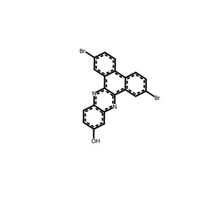 Oc1ccc2nc3c4cc(Br)ccc4c4ccc(Br)cc4c3nc2c1